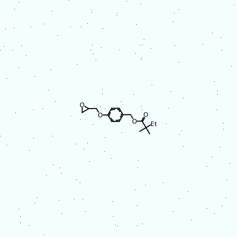 CCC(C)(C)C(=O)OCc1ccc(OCC2CO2)cc1